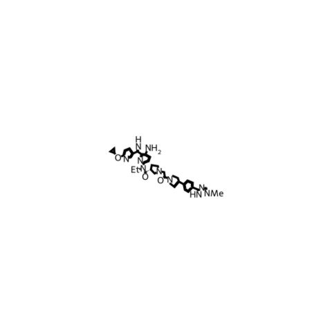 CCN(C(=O)[C@@H]1CCN(CC(=O)N2CC=C(c3ccc(C(=N)/N=C\NC)cc3)CC2)C1)c1ccc(N)c(C(=N)c2ccc(OC3CC3)nc2)n1